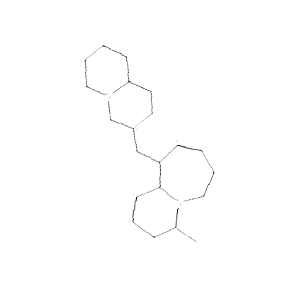 CC1CCCC2C(CC3CCC4CCCCN4C3)CCCCN12